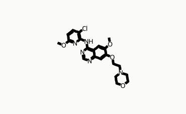 COc1ccc(Cl)c(Nc2ncnc3cc(OCCN4CCOCC4)c(OC)cc23)n1